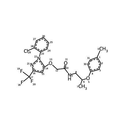 Cc1ccc(OC(C)CNC(=O)COc2cc(C(F)(F)F)nn2-c2ccccc2Cl)cc1